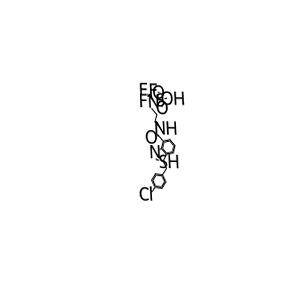 O=C(NCCCN(C(F)(F)F)S(=O)(=O)O)c1cccc2c1N=C[SH]2Cc1ccc(Cl)cc1